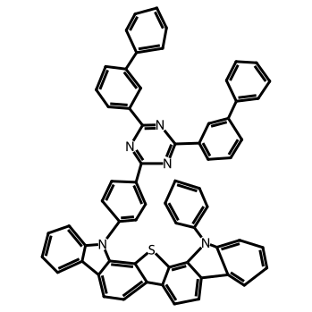 c1ccc(-c2cccc(-c3nc(-c4ccc(-n5c6ccccc6c6ccc7c8ccc9c%10ccccc%10n(-c%10ccccc%10)c9c8sc7c65)cc4)nc(-c4cccc(-c5ccccc5)c4)n3)c2)cc1